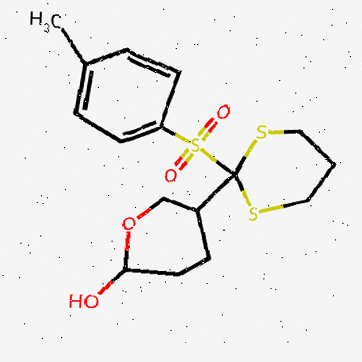 Cc1ccc(S(=O)(=O)C2(C3CCC(O)OC3)SCCCS2)cc1